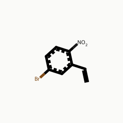 C=[C]c1cc(Br)ccc1[N+](=O)[O-]